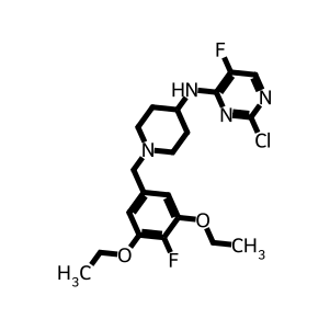 CCOc1cc(CN2CCC(Nc3nc(Cl)ncc3F)CC2)cc(OCC)c1F